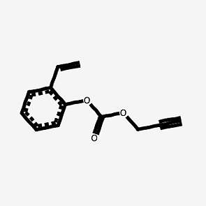 C#CCOC(=O)Oc1ccccc1C=C